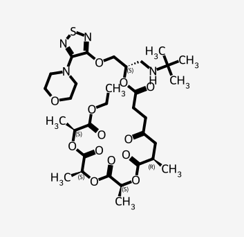 CCOC(=O)[C@H](C)OC(=O)[C@H](C)OC(=O)[C@H](C)OC(=O)[C@H](C)CC(=O)CCC(=O)O[C@@H](CNC(C)(C)C)COc1nsnc1N1CCOCC1